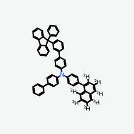 [2H]c1c([2H])c([2H])c2c(-c3ccc(N(c4ccc(-c5ccccc5)cc4)c4ccc(-c5cccc(C6(c7ccccc7)c7ccccc7-c7ccccc76)c5)cc4)cc3)c([2H])c([2H])c([2H])c2c1[2H]